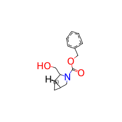 O=C(OCc1ccccc1)N1CC2C[C@@H]2C1CO